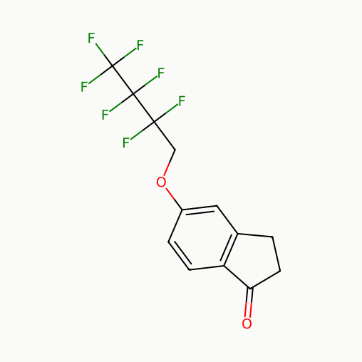 O=C1CCc2cc(OCC(F)(F)C(F)(F)C(F)(F)F)ccc21